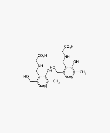 Cc1ncc(CO)c(CNCC(=O)O)c1O.Cc1ncc(CO)c(CNCC(=O)O)c1O